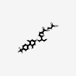 CCC(COc1cc(C)c(-c2ccc(C(F)(F)F)cc2)c(C)c1)c1ccc(C(=O)NCCC(=O)O)s1